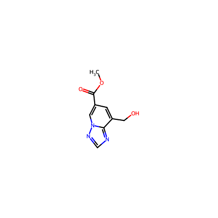 COC(=O)c1cc(CO)c2ncnn2c1